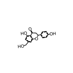 O=C1CC(c2ccc(O)cc2)Oc2cc(CO)cc(O)c21